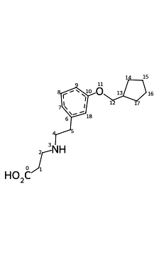 O=C(O)CCNCCc1cccc(OCC2CCCC2)c1